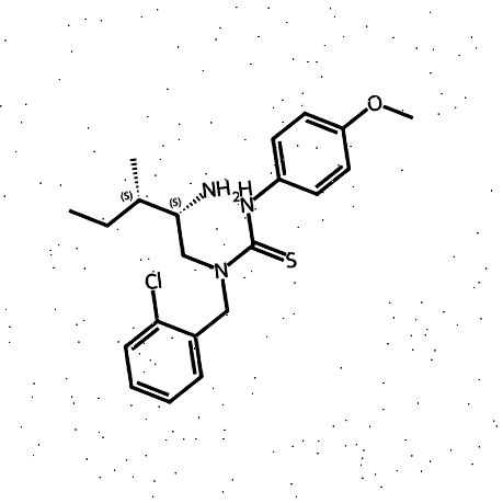 CC[C@H](C)[C@H](N)CN(Cc1ccccc1Cl)C(=S)Nc1ccc(OC)cc1